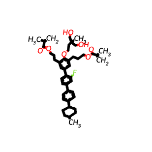 C=C(C)C(=O)OCCCc1cc(-c2ccc(-c3ccc(C4CCC(C)CC4)cc3)cc2F)cc(CCCOC(=O)C(=C)C)c1OCCC(C)(CO)CO